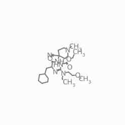 CCOC(=O)N/C(=N\C(CC1CCCCC1)C(=O)NC1(C#N)CCN(C)CC1)N(CC)CCOC